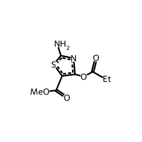 CCC(=O)Oc1nc(N)sc1C(=O)OC